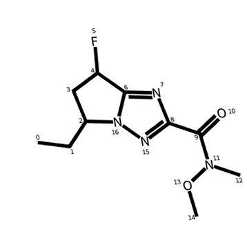 CCC1CC(F)c2nc(C(=O)N(C)OC)nn21